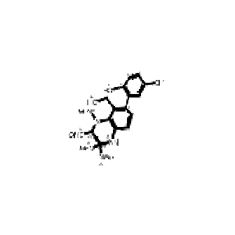 CNN1c2c(ccc(-c3cc(Cl)ccc3O)c2CO)NC(NC)(NC)C1C=O